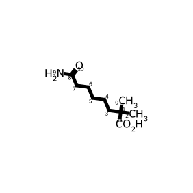 CC(C)(CCCCCC(N)=O)C(=O)O